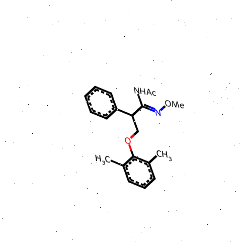 CON=C(NC(C)=O)C(COc1c(C)cccc1C)c1ccccc1